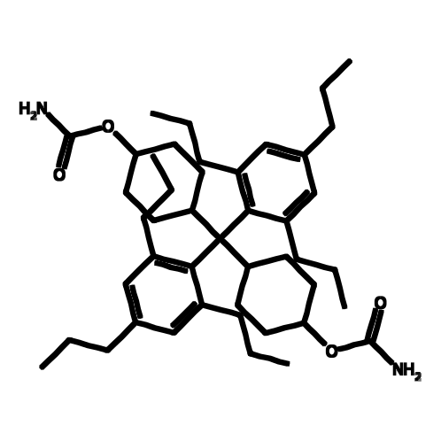 CCCc1cc(CCC)c(C(c2c(CCC)cc(CCC)cc2CCC)(C2CCC(OC(N)=O)CC2)C2CCC(OC(N)=O)CC2)c(CCC)c1